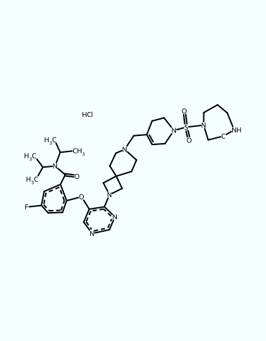 CC(C)N(C(=O)c1cc(F)ccc1Oc1cncnc1N1CC2(CCN(CC3=CCN(S(=O)(=O)N4CCCNCC4)CC3)CC2)C1)C(C)C.Cl